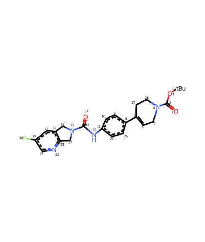 CC(C)(C)OC(=O)N1CC=C(c2ccc(NC(=O)N3Cc4cc(F)cnc4C3)cc2)CC1